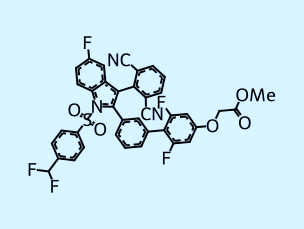 COC(=O)COc1cc(F)c(-c2cccc(-c3c(-c4c(C#N)cccc4C#N)c4cc(F)ccc4n3S(=O)(=O)c3ccc(C(F)F)cc3)c2)c(F)c1